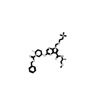 COC[C@H](C)NC(=O)c1cn(COCCS(C)(C)C)c2ncc(O[C@H]3CC[C@@H](C)N(C(=O)OCc4ccccc4)C3)nc12